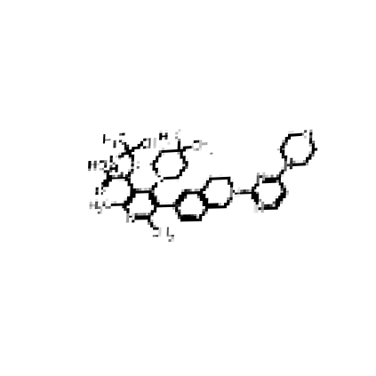 Cc1nc(C)c(C(OC(C)(C)C)C(=O)O)c(N2CCC(C)(C)CC2)c1-c1ccc2c(c1)CCN(c1nccc(N3CCOCC3)n1)C2